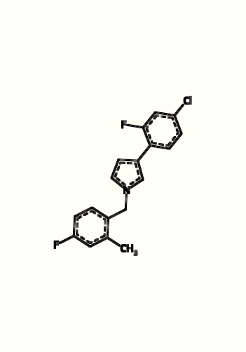 Cc1cc(F)ccc1Cn1ccc(-c2ccc(Cl)cc2F)c1